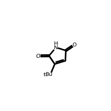 CC(C)(C)C1=CC(=O)NC1=O